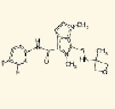 Cn1c(C(=O)Nc2ccc(F)c(F)c2)c2ccn(C)c2c1SNC1(C)COC1